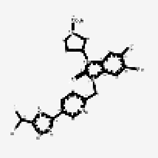 O=C(O)N1CCC(n2c(=O)n(Cc3ccc(-c4nnc(C(F)F)o4)cn3)c3cc(F)c(Br)cc32)C1